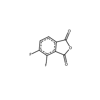 O=C1OC(=O)c2c1ccc(F)c2F